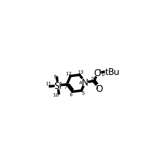 CC(C)(C)OC(=O)N1CC=C([Si](C)(C)C)CC1